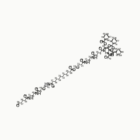 CC(=O)N[C@H]1CN(C(=O)CCCC(=O)NCCCNC(=O)CCOCOC(=O)CCCCCCCCCCC(=O)NCCOCCC(=O)NCCCNC(=O)CCCC=O)[C@H](COC(=O)c2ccccc2)[C@H](OC(=O)c2ccccc2)[C@@H]1OC(=O)c1ccccc1